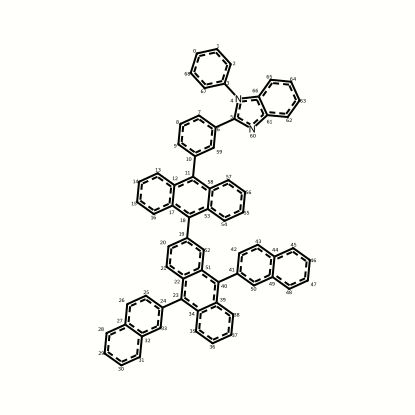 c1ccc(-n2c(-c3cccc(-c4c5ccccc5c(-c5ccc6c(-c7ccc8ccccc8c7)c7ccccc7c(-c7ccc8ccccc8c7)c6c5)c5ccccc45)c3)nc3ccccc32)cc1